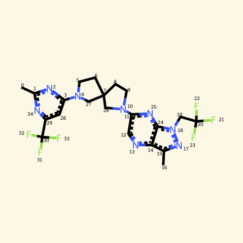 Cc1nc(N2CCC3(CCN(c4cnc5c(C)nn(CC(F)(F)F)c5n4)C3)C2)cc(C(F)(F)F)n1